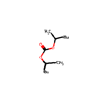 CCC(C)C(C)OC(=O)OC(C)C(C)CC